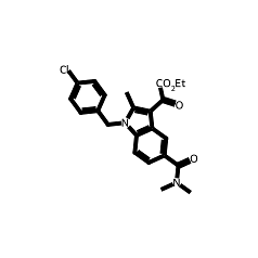 CCOC(=O)C(=O)c1c(C)n(Cc2ccc(Cl)cc2)c2ccc(C(=O)N(C)C)cc12